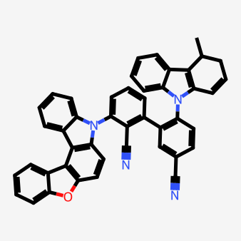 CC1CC=Cc2c1c1ccccc1n2-c1ccc(C#N)cc1-c1cccc(-n2c3ccccc3c3c4c(ccc32)oc2ccccc24)c1C#N